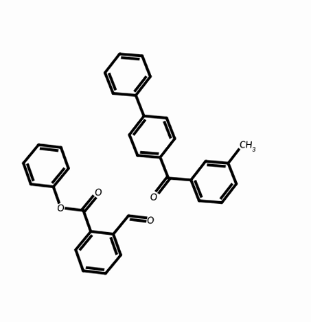 Cc1cccc(C(=O)c2ccc(-c3ccccc3)cc2)c1.O=Cc1ccccc1C(=O)Oc1ccccc1